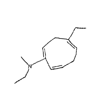 CCC1=CC/C=C\C(N(C)CC)=C/C1